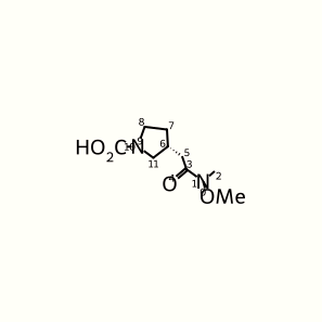 CON(C)C(=O)C[C@H]1CCN(C(=O)O)C1